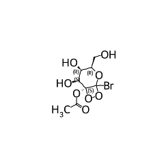 CC(=O)O[C@@]12OOC1(Br)O[C@H](CO)[C@H](O)[C@@H]2O